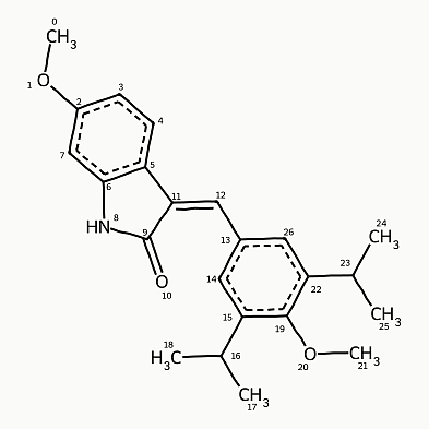 COc1ccc2c(c1)NC(=O)/C2=C\c1cc(C(C)C)c(OC)c(C(C)C)c1